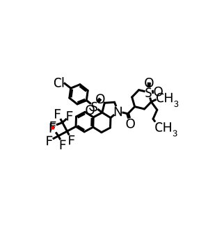 CCCC1(C)CC(C(=O)N2CCC3(S(=O)(=O)c4ccc(Cl)cc4)c4ccc(C(F)(C(F)(F)F)C(F)(F)F)cc4CCC23)CCS1(=O)=O